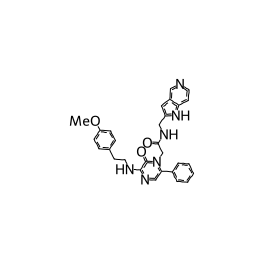 COc1ccc(CCNc2ncc(-c3ccccc3)n(CC(=O)NCc3cc4cnccc4[nH]3)c2=O)cc1